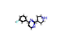 Fc1cccc(-c2ccnc(C3CCNCC3)n2)c1